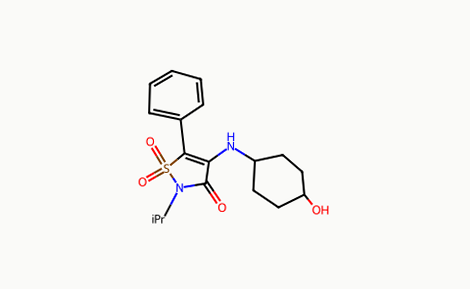 CC(C)N1C(=O)C(NC2CCC(O)CC2)=C(c2ccccc2)S1(=O)=O